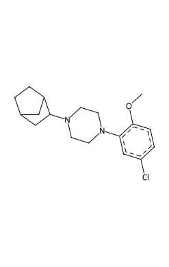 COc1ccc(Cl)cc1N1CCN(C2CC3CCC2C3)CC1